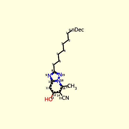 CCCCCCCCCCCCCCCCCc1nc2cc(O)c(C#N)c(C)n2n1